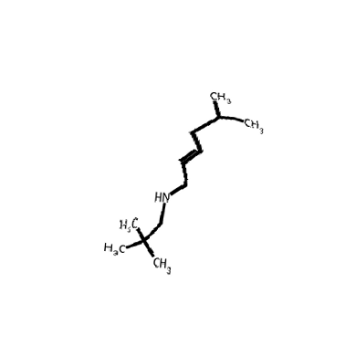 CC(C)C/C=C/CNCC(C)(C)C